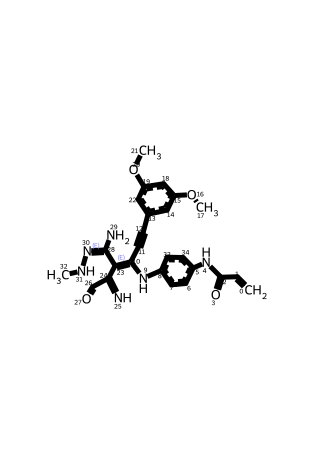 C=CC(=O)Nc1ccc(N/C(C#Cc2cc(OC)cc(OC)c2)=C(C(=N)C=O)/C(N)=N\NC)cc1